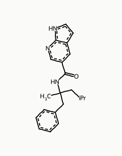 CC(C)CC(C)(Cc1ccccc1)NC(=O)c1cnc2[nH]ccc2c1